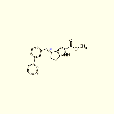 COC(=O)c1cc2c([nH]1)CC/C2=C\c1cccc(-c2cccnc2)c1